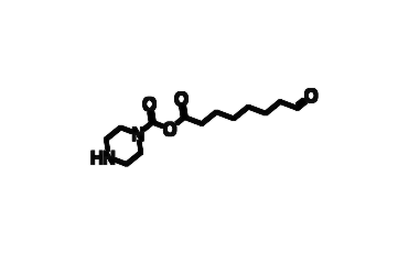 O=CCCCCCCC(=O)OC(=O)N1CCNCC1